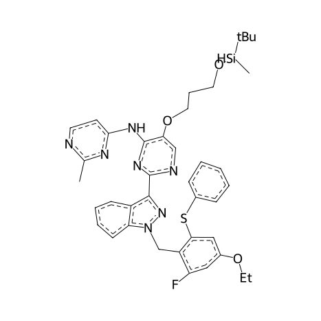 CCOc1cc(F)c(Cn2nc(-c3ncc(OCCCO[SiH](C)C(C)(C)C)c(Nc4ccnc(C)n4)n3)c3ccccc32)c(Sc2ccccc2)c1